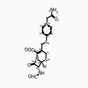 NC(=O)C[n+]1ccc(SCC2=C(C(=O)[O-])N3C(=O)[C@@H](NC=O)[C@H]3SC2)cc1